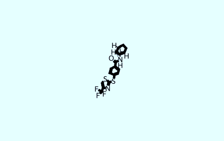 O=C(N[C@@H]1C[C@H]2CC[C@@H]1N2)c1ccc(Sc2nc(C(F)(F)F)cs2)cc1